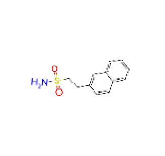 NS(=O)(=O)CCc1ccc2ccccc2c1